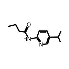 CCCC(=O)Nc1ccc(C(C)C)cn1